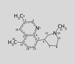 Cc1cnc2c(C3CCCN(C)C3)ccc(C)c2c1